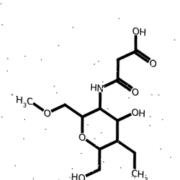 CCC1C(CO)OC(COC)C(NC(=O)CC(=O)O)C1O